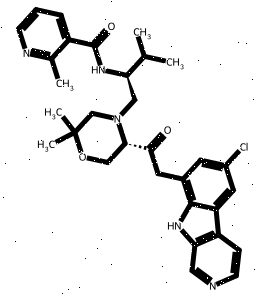 Cc1ncccc1C(=O)N[C@H](CN1CC(C)(C)OC[C@H]1C(=O)Cc1cc(Cl)cc2c1[nH]c1cnccc12)C(C)C